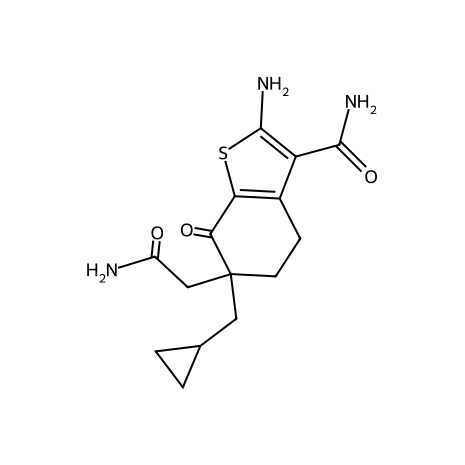 NC(=O)CC1(CC2CC2)CCc2c(sc(N)c2C(N)=O)C1=O